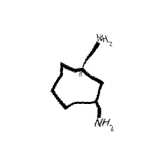 NC1CCC[C@@H](N)C1